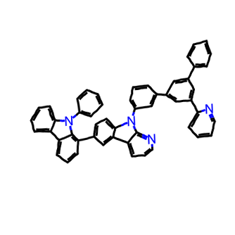 c1ccc(-c2cc(-c3cccc(-n4c5ccc(-c6cccc7c8ccccc8n(-c8ccccc8)c67)cc5c5cccnc54)c3)cc(-c3ccccn3)c2)cc1